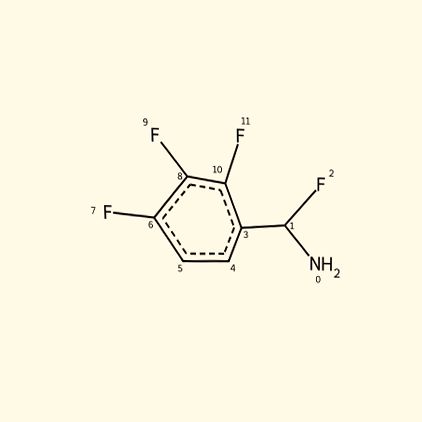 NC(F)c1ccc(F)c(F)c1F